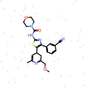 COCC1=NC(C)=CC(c2sc(NC(=O)N3CCOCC3)nc2-c2cccc(C#N)c2)C1